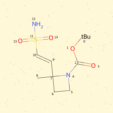 CC(C)(C)OC(=O)N1CCC1(C)C=CS(N)(=O)=O